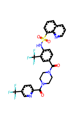 O=C(c1ccc(NS(=O)(=O)c2cccc3cccnc23)c(C(F)(F)F)c1)N1CCN(C(=O)c2ccc(C(F)(F)F)cn2)CC1